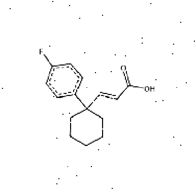 O=C(O)/C=C/C1(c2ccc(F)cc2)CCCCC1